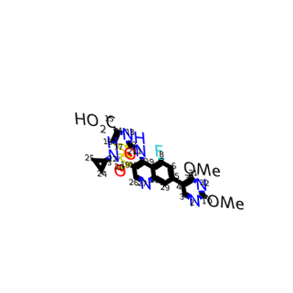 COc1ncc(-c2cc(F)c3c(Nc4nc(C(=O)O)cs4)c(S(=O)(=O)NC4CC4)cnc3c2)c(OC)n1